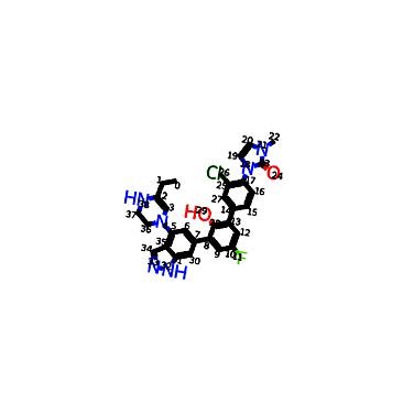 CCC1=CN(c2cc(-c3cc(F)cc(-c4ccc(-n5ccn(C)c5=O)c(Cl)c4)c3O)cc3[nH]ncc23)CCN1